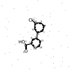 O=C(O)c1cc(-c2cccc(Cl)c2)ccn1